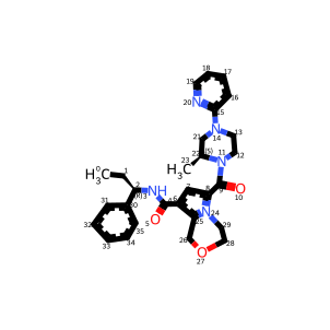 CC[C@@H](NC(=O)c1cc(C(=O)N2CCN(c3ccccn3)C[C@@H]2C)n2c1COCC2)c1ccccc1